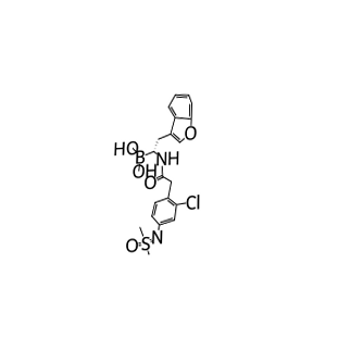 CS(C)(=O)=Nc1ccc(CC(=O)N[C@@H](Cc2coc3ccccc23)B(O)O)c(Cl)c1